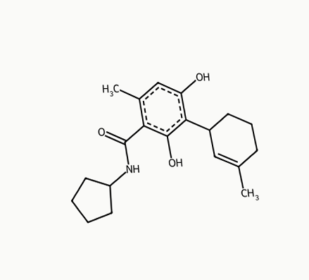 CC1=CC(c2c(O)cc(C)c(C(=O)NC3CCCC3)c2O)CCC1